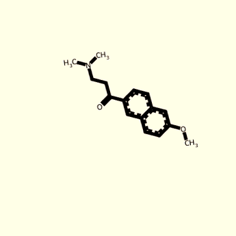 COc1ccc2cc(C(=O)CCN(C)C)ccc2c1